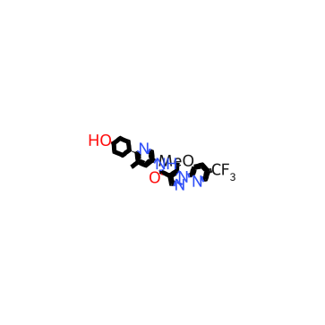 COc1cc(C(F)(F)F)cnc1-n1ncc(C(=O)Nc2cnc([C@H]3CC[C@H](O)CC3)c(C)c2)c1C